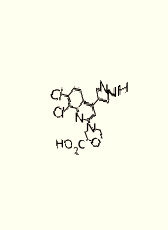 O=C(O)[C@H]1CN(c2cc(-c3cn[nH]c3)c3ccc(Cl)c(Cl)c3n2)CCO1